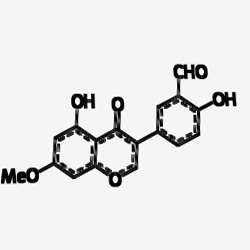 COc1cc(O)c2c(=O)c(-c3ccc(O)c(C=O)c3)coc2c1